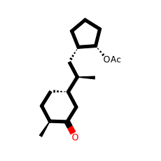 CC(=O)O[C@H]1CCC[C@H]1C[C@@H](C)[C@H]1CC[C@H](C)C(=O)C1